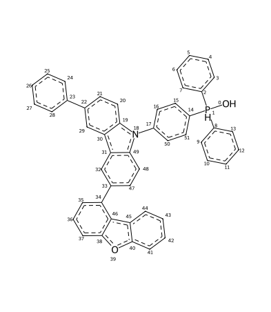 O[PH](c1ccccc1)(c1ccccc1)c1ccc(-n2c3ccc(-c4ccccc4)cc3c3cc(-c4cccc5oc6ccccc6c45)ccc32)cc1